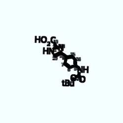 CC(C)(C)OC(=O)Nc1ccc(-c2c[nH]c(C(=O)O)n2)cc1